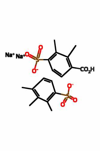 Cc1c(C(=O)O)ccc(S(=O)(=O)[O-])c1C.Cc1ccc(S(=O)(=O)[O-])c(C)c1C.[Na+].[Na+]